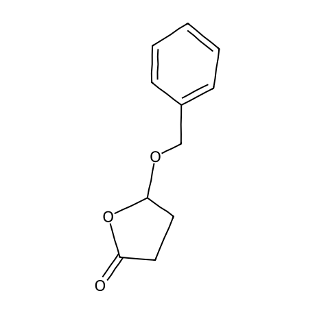 O=C1CCC(OCc2ccccc2)O1